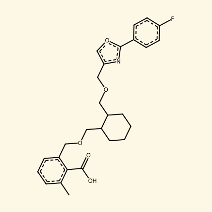 Cc1cccc(COCC2CCCCC2COCc2coc(-c3ccc(F)cc3)n2)c1C(=O)O